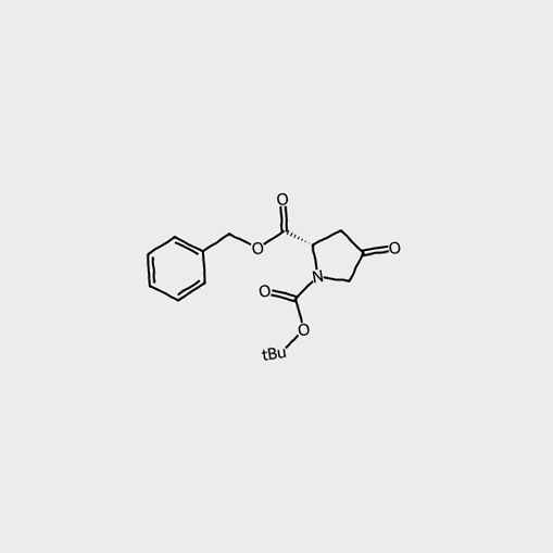 CC(C)(C)OC(=O)N1CC(=O)C[C@H]1C(=O)OCc1ccccc1